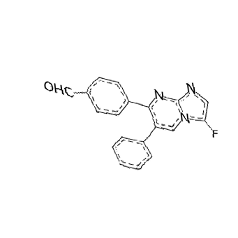 O=Cc1ccc(-c2nc3ncc(F)n3cc2-c2ccccc2)cc1